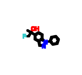 CC(O)(CF)c1ccc2c(cnn2-c2ccccc2)c1